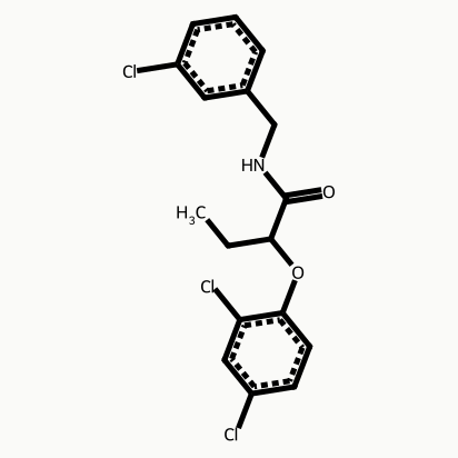 CCC(Oc1ccc(Cl)cc1Cl)C(=O)NCc1cccc(Cl)c1